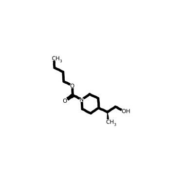 CCCCOC(=O)N1CCC([C@H](C)CO)CC1